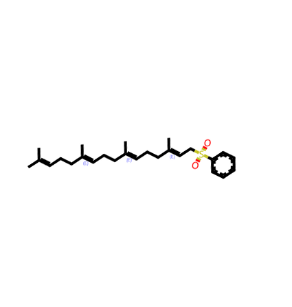 CC(C)=CCC/C(C)=C/CC/C(C)=C/CC/C(C)=C/CS(=O)(=O)c1ccccc1